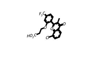 Cc1c(-c2ccc(C(F)(F)F)cc2OCCC(=O)O)oc2c(Cl)cccc2c1=O